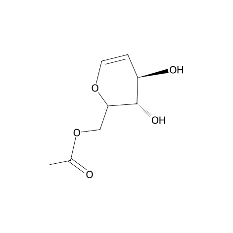 CC(=O)OCC1OC=C[C@@H](O)[C@@H]1O